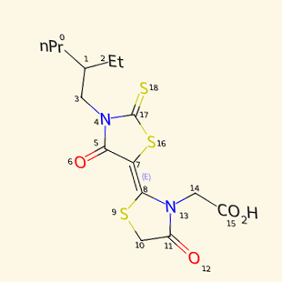 CCCC(CC)CN1C(=O)/C(=C2\SCC(=O)N2CC(=O)O)SC1=S